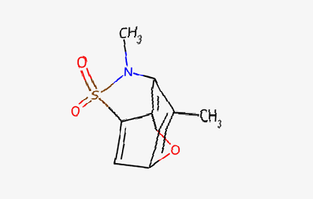 Cc1c2c3oc1cc3S(=O)(=O)N2C